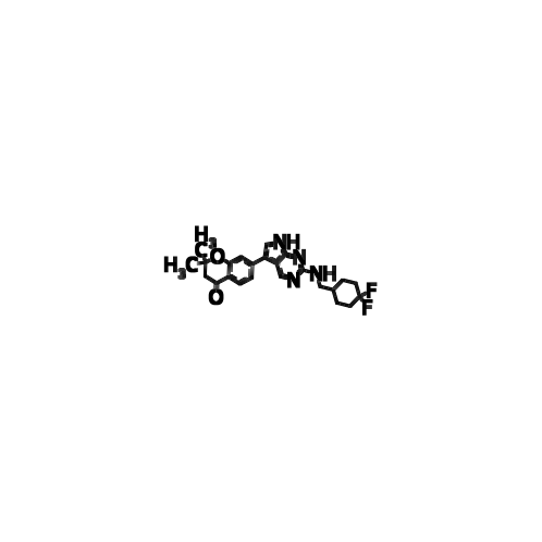 CC1(C)CC(=O)c2ccc(-c3c[nH]c4nc(NCC5CCC(F)(F)CC5)ncc34)cc2O1